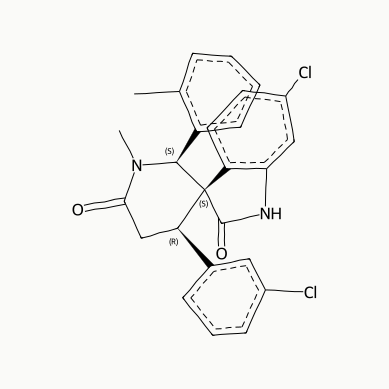 Cc1ccccc1[C@@H]1N(C)C(=O)C[C@H](c2cccc(Cl)c2)[C@@]12C(=O)Nc1cc(Cl)ccc12